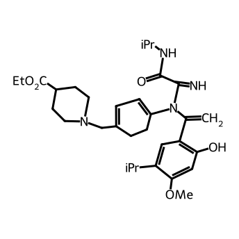 C=C(c1cc(C(C)C)c(OC)cc1O)N(C(=N)C(=O)NC(C)C)C1=CC=C(CN2CCC(C(=O)OCC)CC2)CC1